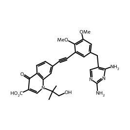 COc1cc(Cc2cnc(N)nc2N)cc(C#Cc2ccc3c(=O)c(C(=O)O)cn(C(C)(C)CO)c3c2)c1OC